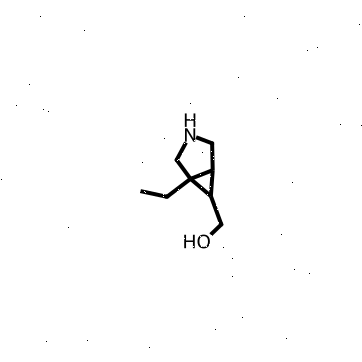 CCC12CNCC1C2CO